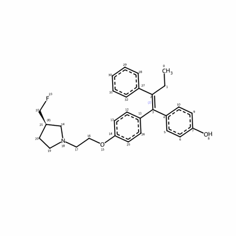 CC/C(=C(\c1ccc(O)cc1)c1ccc(OCCN2CC[C@@H](CF)C2)cc1)c1ccccc1